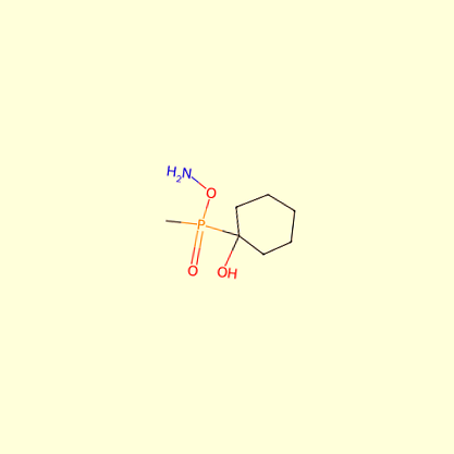 CP(=O)(ON)C1(O)CCCCC1